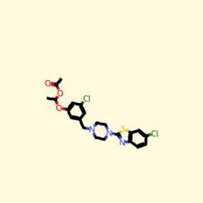 CC(=O)OC(C)Oc1cc(Cl)cc(CN2CCN(c3nc4ccc(Cl)cc4s3)CC2)c1